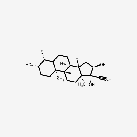 C#C[C@]1(O)[C@H](O)C[C@H]2[C@@H]3CCC4[C@@H](F)[C@@H](O)CC[C@]4(C)[C@H]3CC[C@@]21C